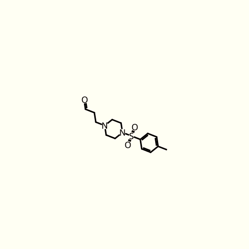 Cc1ccc(S(=O)(=O)N2CCN(CCC=O)CC2)cc1